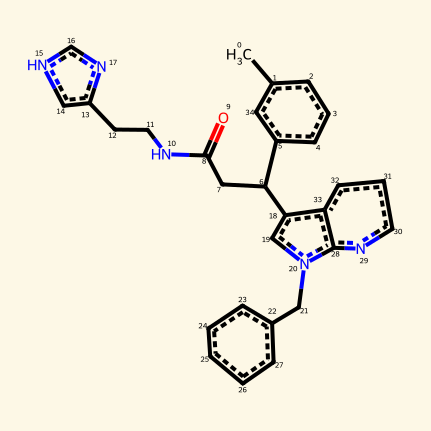 Cc1cccc(C(CC(=O)NCCc2c[nH]cn2)c2cn(Cc3ccccc3)c3ncccc23)c1